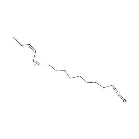 CC/C=C\C=C/CCCCCCCCC=C=O